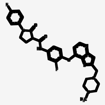 CN1CCN(Cc2cc3nccc(Oc4ccc(NC(=O)C5CCN(c6ccc(F)cc6)C5=O)cc4F)c3s2)CC1